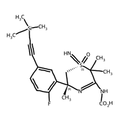 CC1(C)C(NC(=O)O)=N[C@](C)(c2cc(C#C[Si](C)(C)C)ccc2F)C[S@]1(=N)=O